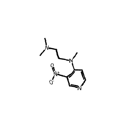 CN(C)CCN(C)c1ccncc1[N+](=O)[O-]